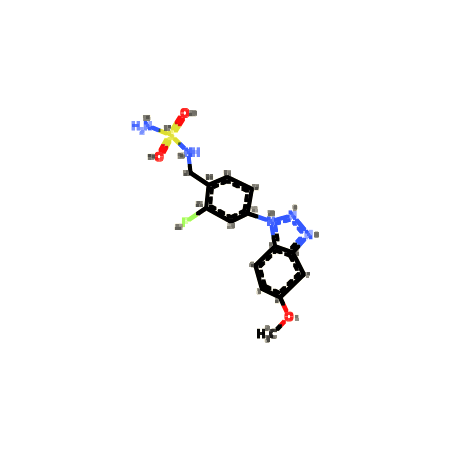 COc1ccc2c(c1)nnn2-c1ccc(CNS(N)(=O)=O)c(F)c1